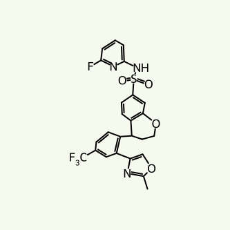 Cc1nc(-c2cc(C(F)(F)F)ccc2C2CCOc3cc(S(=O)(=O)Nc4cccc(F)n4)ccc32)co1